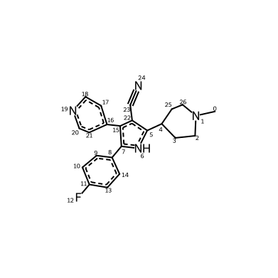 CN1CCC(c2[nH]c(-c3ccc(F)cc3)c(-c3ccncc3)c2C#N)CC1